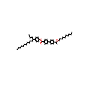 CCCCCCCCCCCC(CCC)c1ccc(OC(=O)c2ccc(-c3ccc(C(C)OCCCCCCCCCC)cc3)cc2)cc1